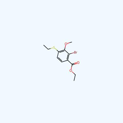 CCOC(=O)c1ccc(SCC)c(OC)c1Br